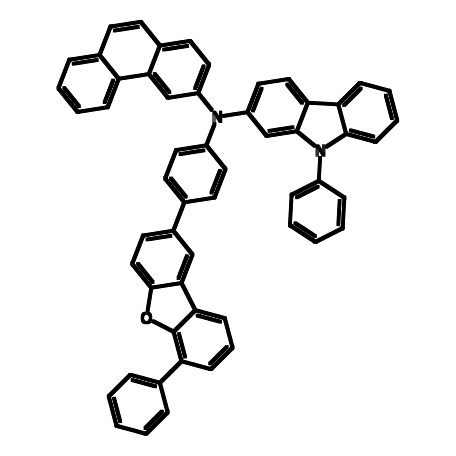 c1ccc(-c2cccc3c2oc2ccc(-c4ccc(N(c5ccc6ccc7ccccc7c6c5)c5ccc6c7ccccc7n(-c7ccccc7)c6c5)cc4)cc23)cc1